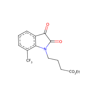 CCOC(=O)CCCN1C(=O)C(=O)c2cccc(C(F)(F)F)c21